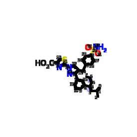 C=C(C)/C=C(\C=C/C)c1cccc(-c2nn(-c3nc(C(=O)O)cs3)cc2Cc2ccc(S(N)(=O)=O)cc2)c1